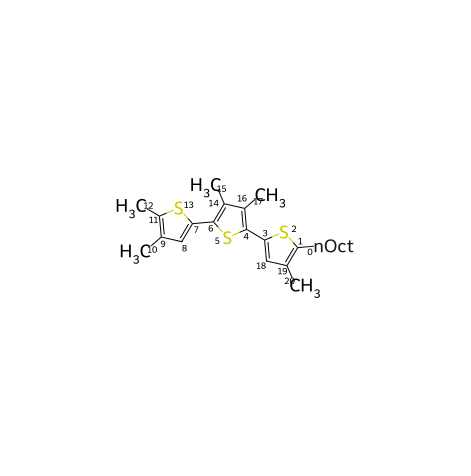 CCCCCCCCc1sc(-c2sc(-c3cc(C)c(C)s3)c(C)c2C)cc1C